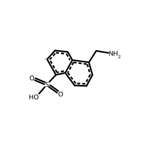 NCc1cccc2c(S(=O)(=O)O)[c]ccc12